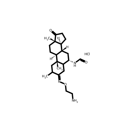 CC1C[C@@]2(C)C(CC1=NOCCN)[C@@H](NC=O)C[C@@H]1[C@@H]2CC[C@]2(C)C(=O)CC[C@@H]12.Cl